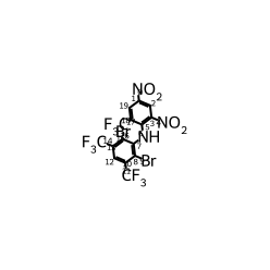 O=[N+]([O-])c1cc([N+](=O)[O-])c(Nc2c(Br)c(C(F)(F)F)cc(C(F)(F)F)c2Br)c(C(F)(F)F)c1